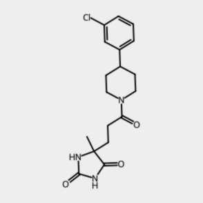 CC1(CCC(=O)N2CCC(c3cccc(Cl)c3)CC2)NC(=O)NC1=O